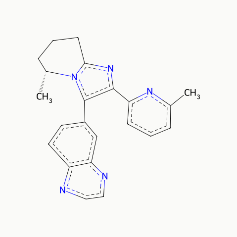 Cc1cccc(-c2nc3n(c2-c2ccc4nccnc4c2)[C@H](C)CCC3)n1